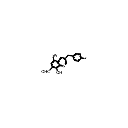 CCCc1cc(C=O)c(O)c2ncc(Cc3ccc(F)cc3)cc12